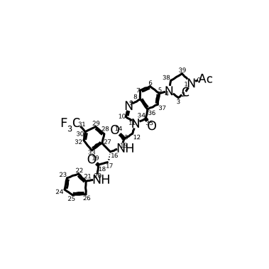 CC(=O)N1CCN(c2ccc3ncn(CC(=O)N[C@H](CC(=O)Nc4ccccc4)c4ccc(C(F)(F)F)cc4)c(=O)c3c2)CC1